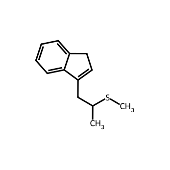 CSC(C)CC1=CCc2ccccc21